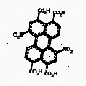 O=C(O)c1ccc2c3c([N+](=O)[O-])cc(C(=O)O)c4c(C(=O)O)ccc(c5c([N+](=O)[O-])cc(C(=O)O)c1c25)c43